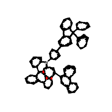 c1ccc(C2(c3ccccc3)c3ccccc3-c3cc(-c4ccc(N(c5cccc(-c6cc7ccccc7c7ccccc67)c5)c5ccccc5-c5cc6ccccc6c6ccccc56)cc4)ccc32)cc1